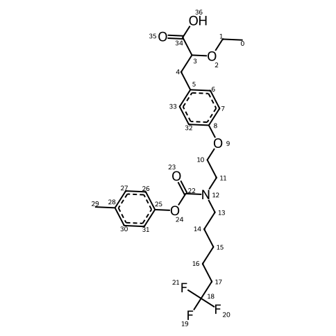 CCOC(Cc1ccc(OCCN(CCCCCC(F)(F)F)C(=O)Oc2ccc(C)cc2)cc1)C(=O)O